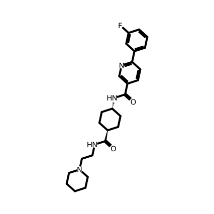 O=C(N[C@H]1CC[C@H](C(=O)NCCN2CCCCC2)CC1)c1ccc(-c2cccc(F)c2)nc1